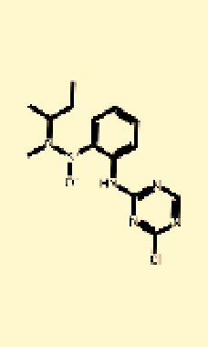 CCC(C)N(C)[S+]([O-])c1ccccc1Nc1ncnc(Cl)n1